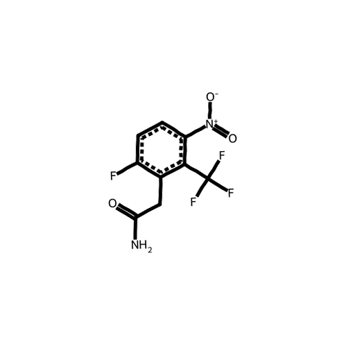 NC(=O)Cc1c(F)ccc([N+](=O)[O-])c1C(F)(F)F